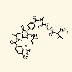 C=CC(C)Nc1nc2c(c(=O)n1-c1ccc(C(=O)N(C)C(=O)OCOC(=O)C(N)C(C)C)cc1)CC(C)N(C(=O)c1ccc(Br)c(C(F)(F)F)c1)C2